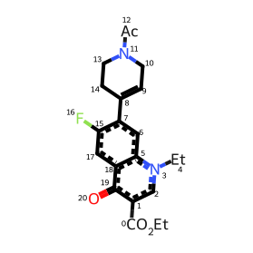 CCOC(=O)c1cn(CC)c2cc(C3=CCN(C(C)=O)CC3)c(F)cc2c1=O